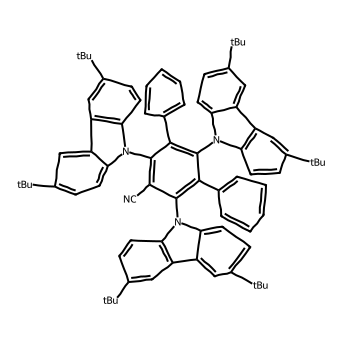 CC(C)(C)c1ccc2c(c1)c1cc(C(C)(C)C)ccc1n2-c1c(C#N)c(-n2c3ccc(C(C)(C)C)cc3c3cc(C(C)(C)C)ccc32)c(-c2ccccc2)c(-n2c3ccc(C(C)(C)C)cc3c3cc(C(C)(C)C)ccc32)c1-c1ccccc1